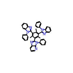 Cc1c(-c2nc3ccccc3n2-c2ccccc2)c(C)c(-c2nc3cccnc3n2-c2ccccc2)c(C)c1-c1nc2ccccc2n1-c1ccccc1